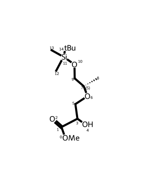 COC(=O)C(O)CO[C@@H](C)CO[Si](C)(C)C(C)(C)C